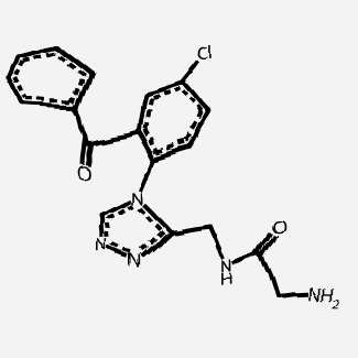 NCC(=O)NCc1nncn1-c1ccc(Cl)cc1C(=O)c1ccccc1